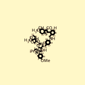 COc1ccc(S(=O)(=O)N(CC(C)C)C[C@@H](O)[C@@H](Cc2ccc(NCc3ccccc3-c3sc4c(c3C(=O)O)CC(C)(C)CC4)cc2)NC(=O)O[C@H]2CO[C@@]3(C)OCC[C@@H]23)cc1